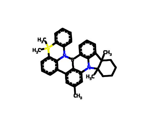 Cc1cc2c3c(c1)N1c4c(cccc4C4(C)CCCCC14C)B3N1c3ccccc3S(C)(C)c3cccc-2c31